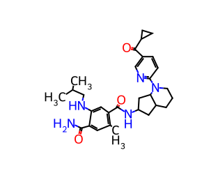 Cc1cc(C(N)=O)c(NCC(C)C)cc1C(=O)NC1CC2CCCN(c3ccc(C(=O)C4CC4)cn3)C2C1